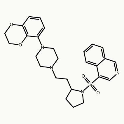 O=S(=O)(c1cncc2ccccc12)N1CCCC1CCN1CCN(c2cccc3c2OCCO3)CC1